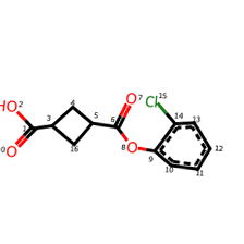 O=C(O)C1CC(C(=O)Oc2ccccc2Cl)C1